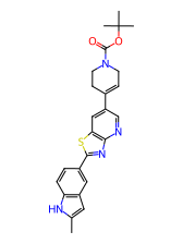 Cc1cc2cc(-c3nc4ncc(C5=CCN(C(=O)OC(C)(C)C)CC5)cc4s3)ccc2[nH]1